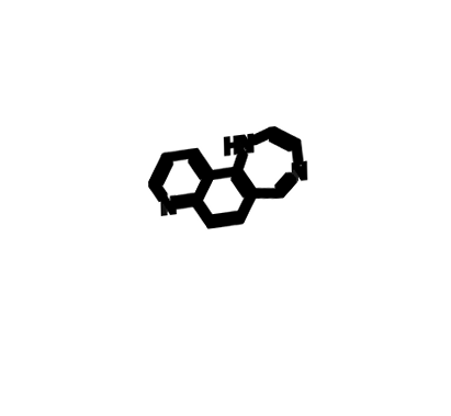 C1=CNc2c(ccc3ncccc23)C=N1